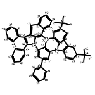 CC(C)(C)c1cc2c3c(c1)c1c(n3-c3cc(-c4ccccc4)cc4c3B2c2c3ccccc3cc3c(-c5ccccc5)c(-c5ccccc5)n-4c23)C=CC(C(C)(C)C)C1